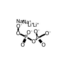 O=P([O-])([O-])OP(=O)([O-])O[O-].[Li+].[Li+].[Na+].[Na+]